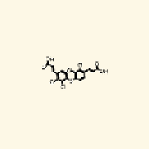 O=C(O)C=Cc1ccc(Sc2ccc(C=CC(=O)O)c(Cl)c2Cl)c(Cl)c1Cl